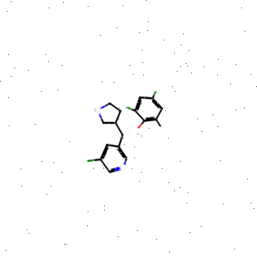 Cc1cc(Cl)cc(Cl)c1O[C@H](c1cncc(F)c1)C1CCNC1